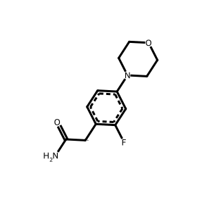 NC(=O)[CH]c1ccc(N2CCOCC2)cc1F